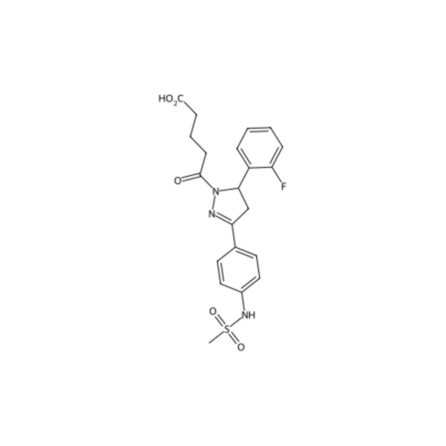 CS(=O)(=O)Nc1ccc(C2=NN(C(=O)CCCC(=O)O)C(c3ccccc3F)C2)cc1